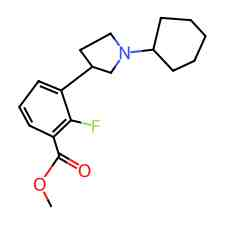 COC(=O)c1cccc(C2CCN(C3CCCCC3)C2)c1F